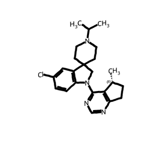 CC(C)N1CCC2(CC1)CN(c1ncnc3c1[C@H](C)CC3)c1ccc(Cl)cc12